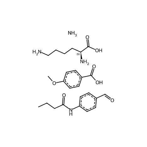 CCCC(=O)Nc1ccc(C=O)cc1.COc1ccc(C(=O)O)cc1.N.NCCCC[C@H](N)C(=O)O